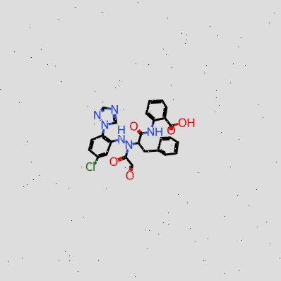 O=CC(=O)N(Nc1cc(Cl)ccc1-n1cncn1)C(Cc1ccccc1)C(=O)Nc1ccccc1C(=O)O